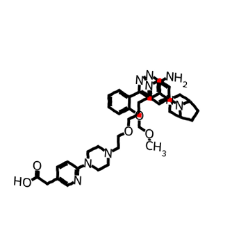 COCOc1ccccc1-c1cc(N2CC3CCC(C2)N3c2ccnc(CCCOCCN3CCN(c4ccc(CC(=O)O)cn4)CC3)c2)c(N)nn1